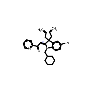 C=CCC1(CC=C)/C(=C/C(=O)c2ccccn2)N(CC2CCCCC2)c2ccc(C#N)cc21